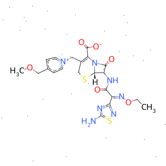 CCON=C(C(=O)NC1C(=O)N2C(C(=O)[O-])=C(C[n+]3ccc(COC)cc3)CS[C@@H]12)c1nsc(N)n1